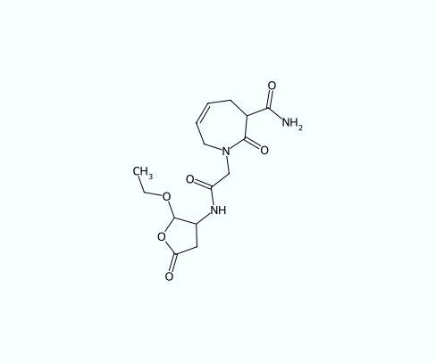 CCOC1OC(=O)CC1NC(=O)CN1CC=CCC(C(N)=O)C1=O